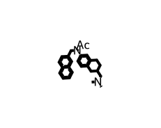 CC(=O)N(Cc1ccc2ccccc2c1)c1ccc2c(c1)CCC(CN(C)C)C2